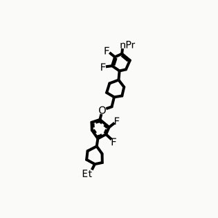 CCCC1=CCC(C2CCC(COc3ccc(C4CCC(CC)CC4)c(F)c3F)CC2)C(F)=C1F